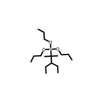 CCCO[Si](OCCC)(OCCC)C(C)(C)C(CC)CC